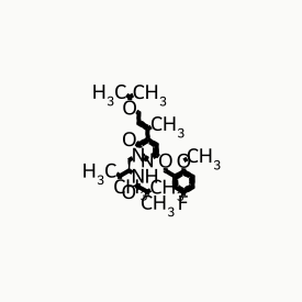 COc1ccc(F)cc1COc1cc(/C(C)=C/COC(C)C)c(=O)n(C[C@@H](NC(=O)C(C)C)C(C)C)n1